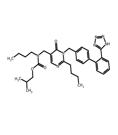 CCCCc1ncc(CN(CCCC)C(=O)OCC(C)C)c(=O)n1Cc1ccc(-c2ccccc2-c2nnn[nH]2)cc1